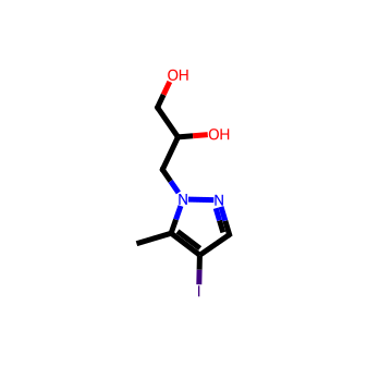 Cc1c(I)cnn1CC(O)CO